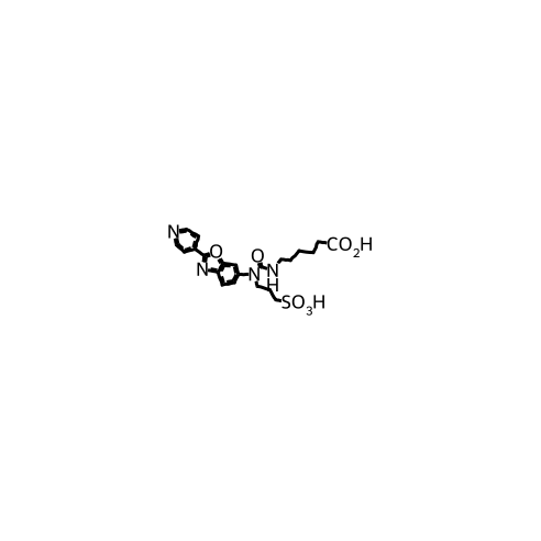 O=C(O)CCCCCNC(=O)N(CCCS(=O)(=O)O)c1ccc2nc(-c3ccncc3)oc2c1